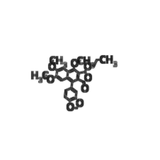 CCCOC1OC(=O)c2c1c(OC)c1cc(OC)c(OC)cc1c2-c1ccc2c(c1)OCO2